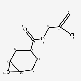 C=C(Cl)COC(=O)C1CCC2OC2C1